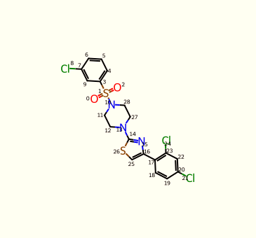 O=S(=O)(c1cccc(Cl)c1)N1CCN(c2nc(-c3ccc(Cl)cc3Cl)cs2)CC1